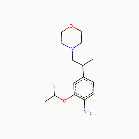 CC(C)Oc1cc(C(C)CN2CCOCC2)ccc1N